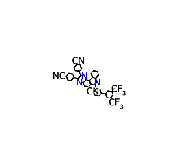 N#Cc1ccc(-c2nc3cc(C#N)c4c(-c5cccc(-c6cc(C(F)(F)F)cc(C(F)(F)F)c6)c5)nc5ccccc5c4c3nc2-c2ccc(C#N)cc2)cc1